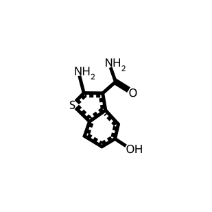 NC(=O)c1c(N)sc2ccc(O)cc12